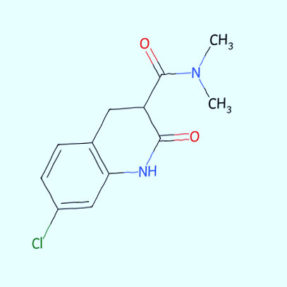 CN(C)C(=O)C1Cc2ccc(Cl)cc2NC1=O